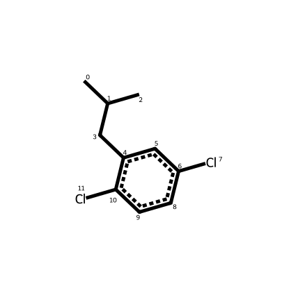 CC(C)Cc1cc(Cl)ccc1Cl